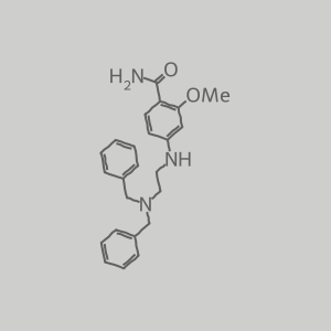 COc1cc(NCCN(Cc2ccccc2)Cc2ccccc2)ccc1C(N)=O